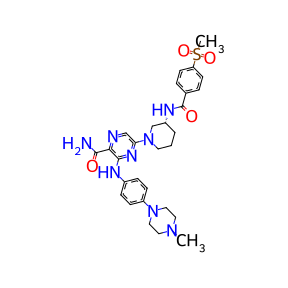 CN1CCN(c2ccc(Nc3nc(N4CCC[C@@H](NC(=O)c5ccc(S(C)(=O)=O)cc5)C4)cnc3C(N)=O)cc2)CC1